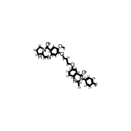 COc1cc2c(cc1OCCCOc1ccc3nc(C)n(-c4ccc(F)cc4)c(=O)c3c1)N=C[C@@H]1CCCN1C2=O